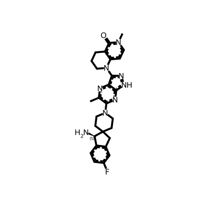 Cc1nc2c(N3CCCc4c3ccn(C)c4=O)n[nH]c2nc1N1CCC2(CC1)Cc1cc(F)ccc1[C@H]2N